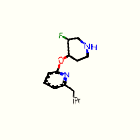 CC(C)Cc1cccc(OC2CCNCC2F)n1